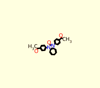 CC(=O)c1ccc(-n2c3c(n(-c4ccc(C(C)=O)cc4)c2=O)C=CCC=C3)cc1